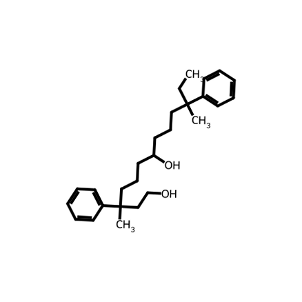 CCC(C)(CCCC(O)CCCC(C)(CCO)c1ccccc1)c1ccccc1